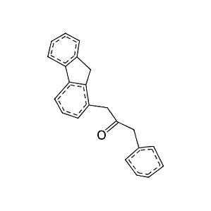 O=C(Cc1ccccc1)Cc1cccc2c1Cc1ccccc1-2